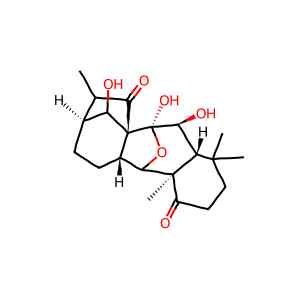 CC1C(=O)[C@]23C(O)[C@H]1CC[C@H]2C1O[C@]3(O)[C@@H](O)[C@@H]2C(C)(C)CCC(=O)[C@@]12C